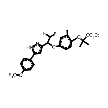 CCOC(=O)C(C)(C)Oc1ccc(OC(c2cc(-c3ccc(OC(F)(F)F)cc3)[nH]n2)C(F)F)cc1C